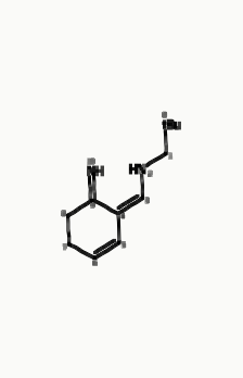 CC(C)(C)CN/C=C1/C=CCCC1=N